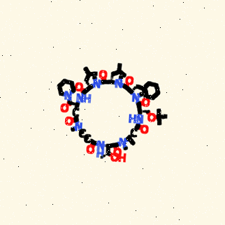 CC(C)C[C@H]1C(=O)N[C@H](C(=O)N2CCCCC2)CC(=O)N(C)CCC(=O)N[C@@H]([C@@H](C)O)C(=O)N(C)C(C)CC(=O)N[C@@H](COC(C)(C)C)C(=O)N(C)[C@@H](CC2=CCCCC2)C(=O)N(C)[C@@H](CC(C)C)C(=O)N1C